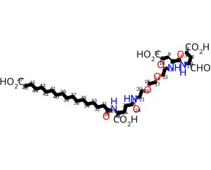 O=C[C@H](CCC(=O)O)NC(=O)[C@H](CCC(=O)O)NC(=O)COCCOCCNC(=O)CC[C@H](NC(=O)CCCCCCCCCCCCCCCCC(=O)O)C(=O)O